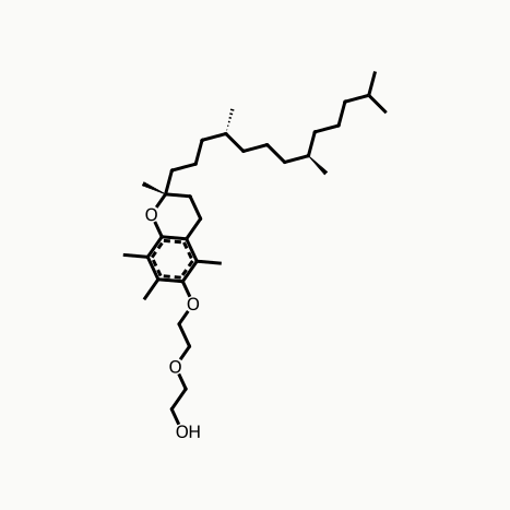 Cc1c(C)c2c(c(C)c1OCCOCCO)CC[C@@](C)(CCC[C@H](C)CCC[C@H](C)CCCC(C)C)O2